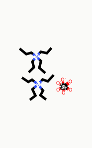 CCC[N+](CCC)(CCC)CCC.CCC[N+](CCC)(CCC)CCC.[O]=[Ru](=[O])(=[O])(=[O])([O-])[O-]